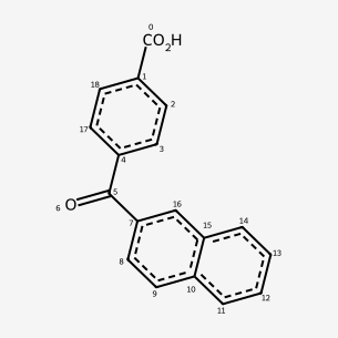 O=C(O)c1ccc(C(=O)c2ccc3ccccc3c2)cc1